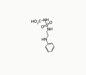 O=C(O)NS(=O)(=O)NCCNc1ccccc1